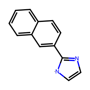 C1=CN=C(c2ccc3ccccc3c2)[N]1